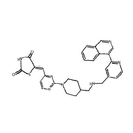 O=C1NC(=O)/C(=C/c2ccnc(N3CCC(CNCc4ccnc(-c5cncc6ccccc56)c4)CC3)n2)S1